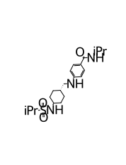 CC(C)NC(=O)c1ccc(NC[C@H]2CC[C@H](NS(=O)(=O)C(C)C)CC2)cc1